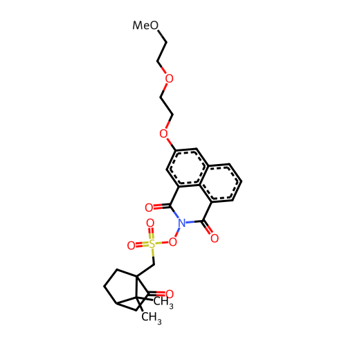 COCCOCCOc1cc2c3c(cccc3c1)C(=O)N(OS(=O)(=O)CC13CCC(CC1=O)C3(C)C)C2=O